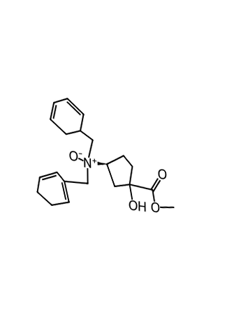 COC(=O)C1(O)CC[C@H]([N+]([O-])(CC2=CCCC=C2)CC2C=CC=CC2)C1